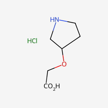 Cl.O=C(O)COC1CCNC1